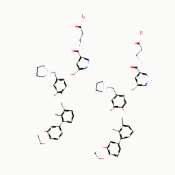 Cc1c(COc2cc(OCc3cncc(C(=O)NCCC(=O)OC(C)(C)C)c3)c(CN3CC[C@H](O)C3)cc2Cl)cccc1-c1ccc2c(c1)OCCO2.Cc1c(COc2cc(OCc3cncc(C(=O)NCCC(=O)OC(C)(C)C)c3)c(CN3CC[C@H](O)C3)cc2Cl)cccc1-c1ccc2c(c1)OCCO2